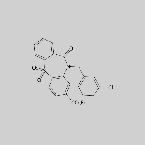 CCOC(=O)c1ccc2c(c1)N(Cc1cccc(Cl)c1)C(=O)c1ccccc1S2(=O)=O